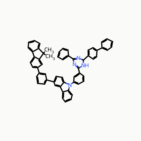 CC1(C)c2ccccc2-c2ccc(-c3cccc(-c4ccc5c(c4)c4ccccc4n5-c4cccc(C5=NC(c6ccccc6)=NC(c6ccc(-c7ccccc7)cc6)N5)c4)c3)cc21